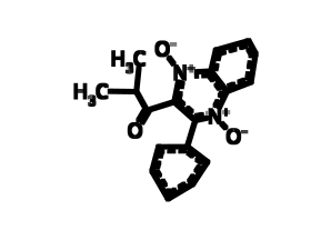 CC(C)C(=O)c1c(-c2ccccc2)[n+]([O-])c2ccccc2[n+]1[O-]